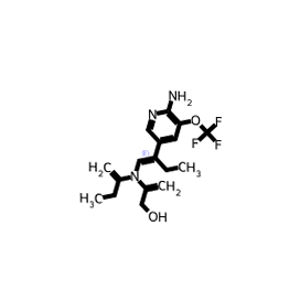 C=C(CC)N(/C=C(\CC)c1cnc(N)c(OC(F)(F)F)c1)C(=C)CO